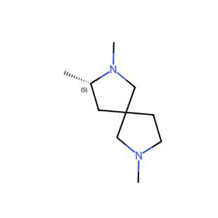 C[C@H]1CC2(CCN(C)C2)CN1C